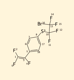 FC(F)=C(F)c1ccc(SC(F)(F)C(F)(F)Br)cc1